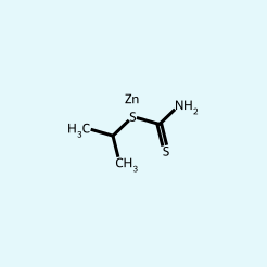 CC(C)SC(N)=S.[Zn]